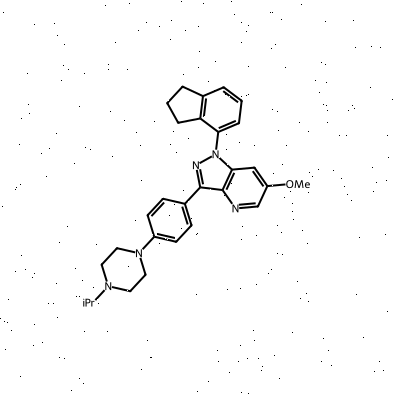 COc1cnc2c(-c3ccc(N4CCN(C(C)C)CC4)cc3)nn(-c3cccc4c3CCC4)c2c1